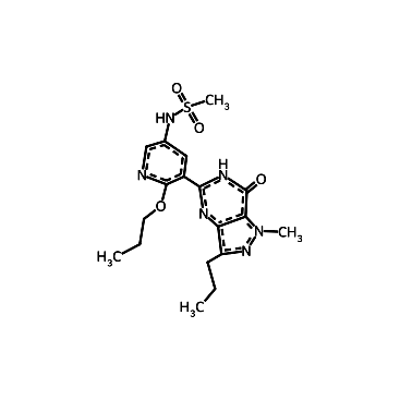 CCCOc1ncc(NS(C)(=O)=O)cc1-c1nc2c(CCC)nn(C)c2c(=O)[nH]1